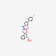 C[C@@H](c1ccc(-c2ccc(F)cc2F)cc1)N1CCC(CCCO)(c2ccccc2)OC1=O